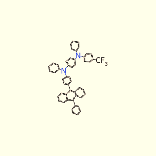 FC(F)(F)c1ccc(N(c2ccccc2)c2ccc(N(c3ccccc3)c3ccc(-c4c5ccccc5c(-c5ccccc5)c5ccccc45)cc3)cc2)cc1